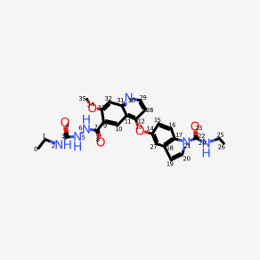 CCNC(=O)NNC(=O)c1cc2c(Oc3ccc4c(ccn4C(=O)NCC)c3)ccnc2cc1OC